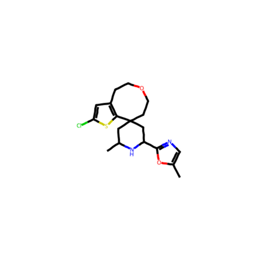 Cc1cnc(C2CC3(CCOCCc4cc(Cl)sc43)CC(C)N2)o1